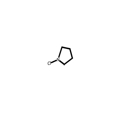 ClN1[CH]CCC1